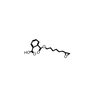 O=C(O)c1ccccc1C(=O)OCCCCCCC1CO1